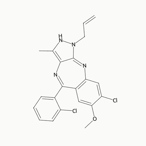 C=CCN1NC(C)=C2N=C(c3ccccc3Cl)c3cc(OC)c(Cl)cc3N=C21